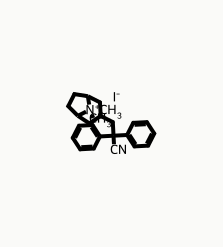 C[N+]1(C)C2CCC1CC(CC(C#N)(c1ccccc1)c1ccccc1)C2.[I-]